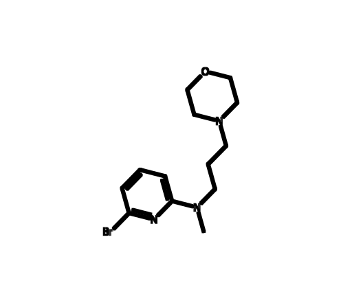 CN(CCCN1CCOCC1)c1cccc(Br)n1